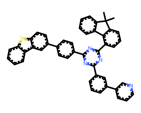 CC1(C)c2ccccc2-c2c(-c3nc(-c4ccc(-c5ccc6sc7ccccc7c6c5)cc4)nc(-c4cccc(-c5cccnc5)c4)n3)cccc21